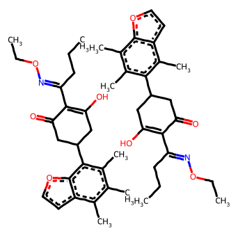 CCCC(=NOCC)C1=C(O)CC(c2c(C)c(C)c(C)c3ccoc23)CC1=O.CCCC(=NOCC)C1=C(O)CC(c2c(C)c(C)c3occc3c2C)CC1=O